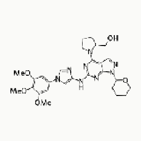 COc1cc(-n2cnc(Nc3nc(N4CCC[C@H]4CO)c4cnn(C5CCCCO5)c4n3)c2)cc(OC)c1OC